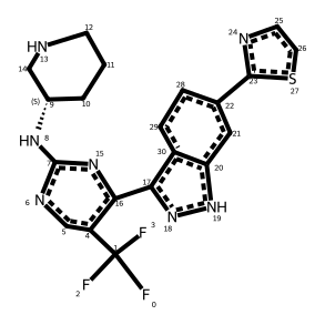 FC(F)(F)c1cnc(N[C@H]2CCCNC2)nc1-c1n[nH]c2cc(-c3nccs3)ccc12